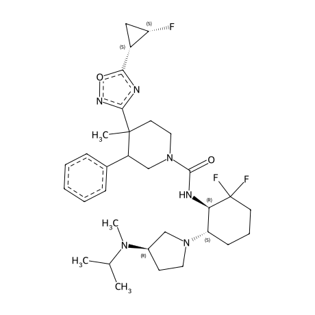 CC(C)N(C)[C@@H]1CCN([C@H]2CCCC(F)(F)[C@@H]2NC(=O)N2CCC(C)(c3noc([C@@H]4C[C@@H]4F)n3)C(c3ccccc3)C2)C1